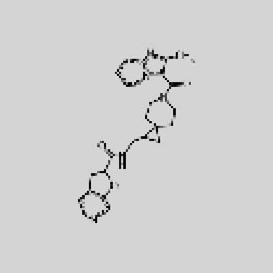 Cc1nc2ccccn2c1C(=O)N1CCC2(CC1)CC2CNC(=O)C1Cc2ccncc2O1